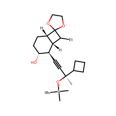 CCC1[C@@H]2[C@@H](C#C[C@](C)(O[Si](C)(C)C(C)(C)C)C3CCC3)[C@H](O)CC[C@@H]2C12OCCO2